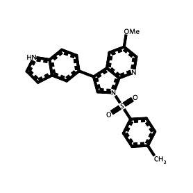 COc1cnc2c(c1)c(-c1ccc3[nH]ccc3c1)cn2S(=O)(=O)c1ccc(C)cc1